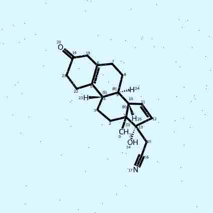 CC12CC[C@@H]3C4=C(CC[C@H]3[C@@H]1C=C[C@@]2(O)CC#N)CC(=O)CC4